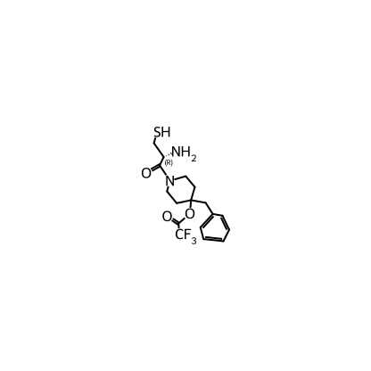 N[C@@H](CS)C(=O)N1CCC(Cc2ccccc2)(OC(=O)C(F)(F)F)CC1